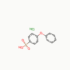 Cl.O=S(=O)(O)c1ccc(Oc2ccccc2)cc1